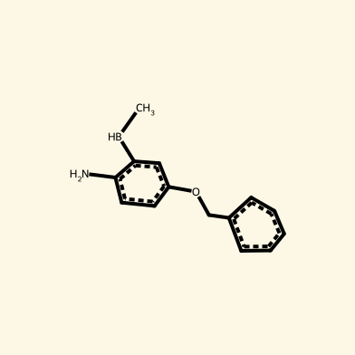 CBc1cc(OCc2ccccc2)ccc1N